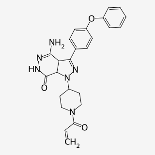 C=CC(=O)N1CCC(N2N=C(c3ccc(Oc4ccccc4)cc3)C3C(N)=NNC(=O)C32)CC1